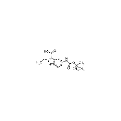 CCc1nn2ccc(NC(=O)OC(C)(C)C)cc2c1C(=O)O